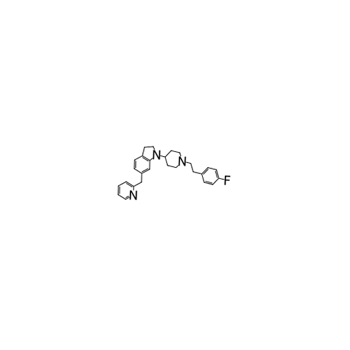 Fc1ccc(CCN2CCC(N3CCc4ccc(Cc5ccccn5)cc43)CC2)cc1